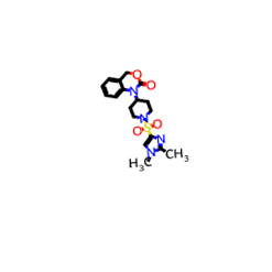 Cc1nc(S(=O)(=O)N2CCC(N3C(=O)OCc4ccccc43)CC2)cn1C